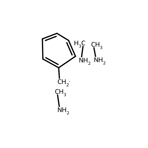 CN.CN.CN.[CH2]c1ccccc1